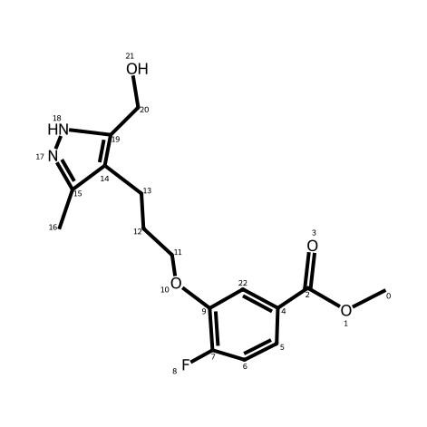 COC(=O)c1ccc(F)c(OCCCc2c(C)n[nH]c2CO)c1